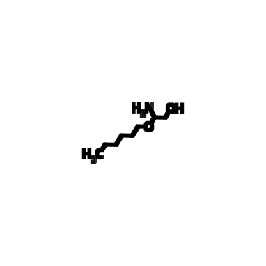 CCCCCCOC(N)CO